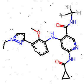 [2H]C([2H])([2H])NC(=O)c1cnc(NC(=O)C2CC2)cc1Nc1cccc(-c2ccn(CC)n2)c1OC